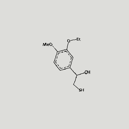 CCOc1cc(C(O)CS)ccc1OC